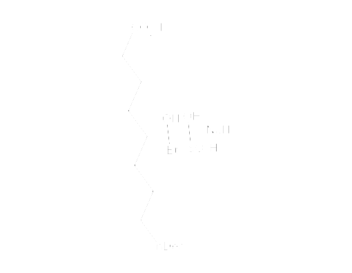 CCCCCCCCCCCCCCCCCC(=O)O.CCO.O=S(=O)(O)O.[NaH]